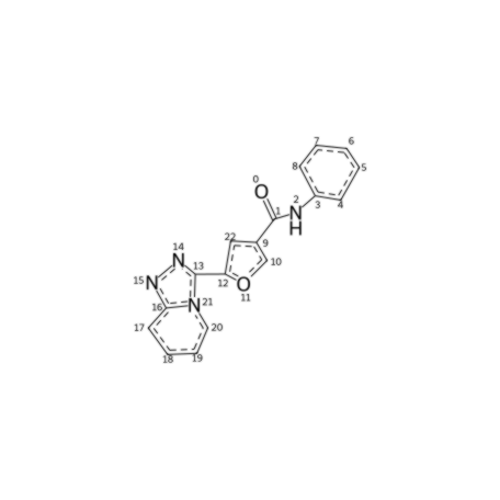 O=C(Nc1ccccc1)c1coc(-c2nnc3ccccn23)c1